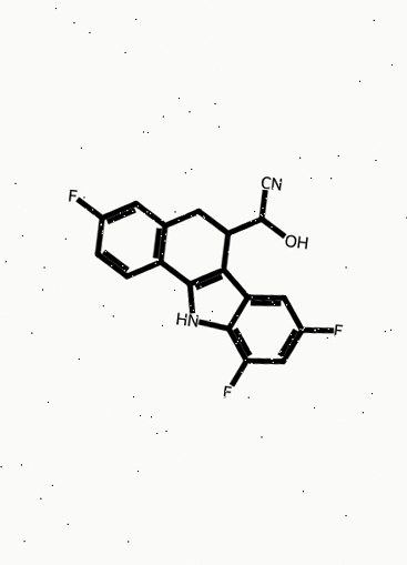 N#CC(O)C1Cc2cc(F)ccc2-c2[nH]c3c(F)cc(F)cc3c21